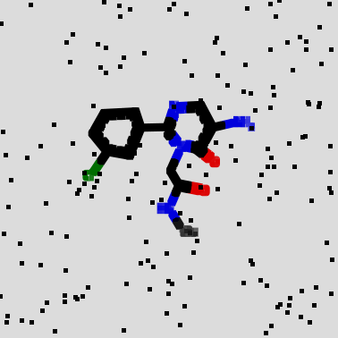 CC(C)(C)NC(=O)Cn1c(-c2cccc(Cl)c2)ncc(N)c1=O